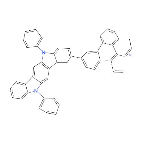 C=Cc1c(/C=C\C)c2ccccc2c2cc(-c3ccc4c(c3)c3cc5c(cc3n4-c3ccccc3)c3ccccc3n5-c3ccccc3)ccc12